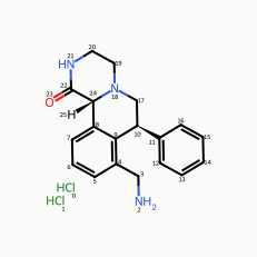 Cl.Cl.NCc1cccc2c1[C@H](c1ccccc1)CN1CCNC(=O)[C@@H]21